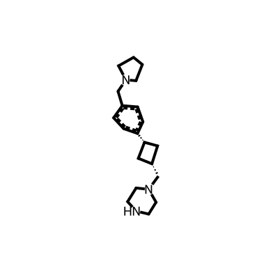 c1cc([C@H]2C[C@@H](CN3CCNCC3)C2)ccc1CN1CCCC1